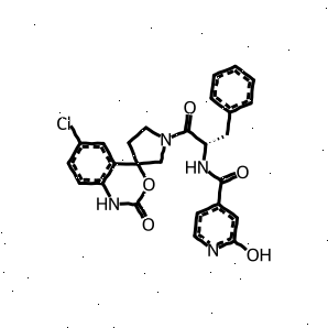 O=C1Nc2ccc(Cl)cc2C2(CCN(C(=O)[C@H](Cc3ccccc3)NC(=O)c3ccnc(O)c3)C2)O1